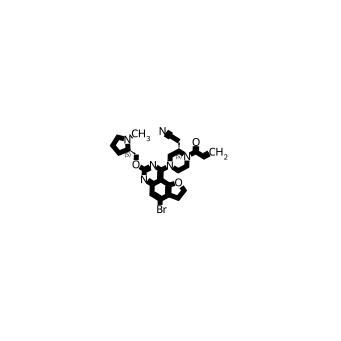 C=CC(=O)N1CCN(c2nc(OC[C@@H]3CCCN3C)nc3cc(Br)c4c(c23)OCC4)C[C@@H]1CC#N